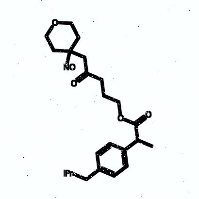 CC(C)Cc1ccc(C(C)C(=O)OCCCC(=O)CC2(N=O)CCOCC2)cc1